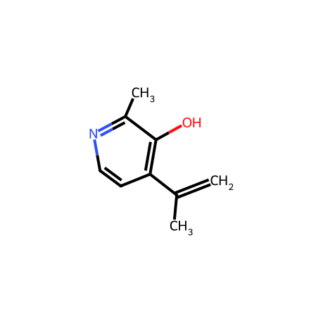 C=C(C)c1ccnc(C)c1O